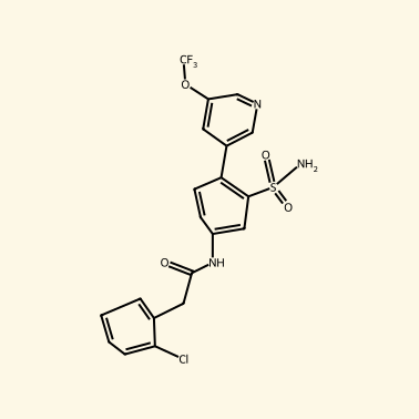 NS(=O)(=O)c1cc(NC(=O)Cc2ccccc2Cl)ccc1-c1cncc(OC(F)(F)F)c1